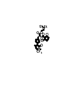 CCN(CC)CCOC(=O)[C@H](Cc1ccc(-c2c(C)cc(C(F)(F)F)n(C)c2=O)cc1)NC(=O)c1c(Cl)cccc1Cl